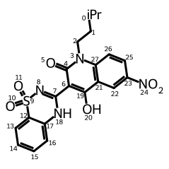 CC(C)CCn1c(=O)c(C2=NS(=O)(=O)c3ccccc3N2)c(O)c2cc([N+](=O)[O-])ccc21